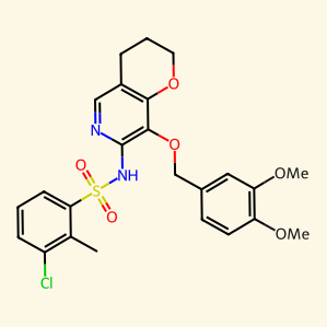 COc1ccc(COc2c(NS(=O)(=O)c3cccc(Cl)c3C)ncc3c2OCCC3)cc1OC